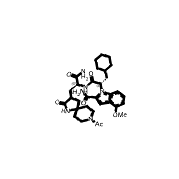 COc1cccc2c1cc(C(N)=O)n2[C@@H](CC1CCCCC1)C(=O)N[C@@H](CC1CC2(CCN(C(C)=O)CC2)NC1=O)C(N)=O